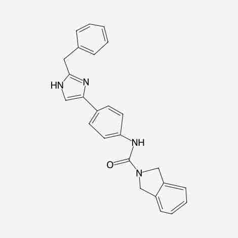 O=C(Nc1ccc(-c2c[nH]c(Cc3ccccc3)n2)cc1)N1Cc2ccccc2C1